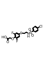 O=C(O)COc1c(F)cc(SCCNS(=O)(=O)c2ccc(Cl)cc2)cc1F